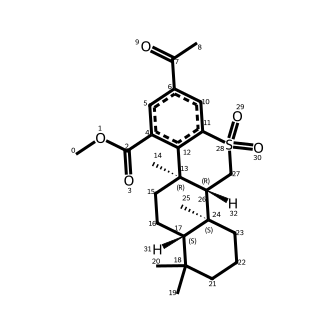 COC(=O)c1cc(C(C)=O)cc2c1[C@]1(C)CC[C@H]3C(C)(C)CCC[C@]3(C)[C@H]1CS2(=O)=O